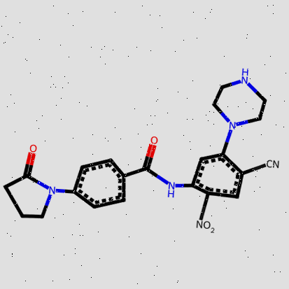 N#Cc1cc([N+](=O)[O-])c(NC(=O)c2ccc(N3CCCC3=O)cc2)cc1N1CCNCC1